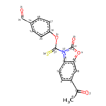 CC(=O)c1ccc2c(c1)oc(=O)n2C(=S)Oc1ccc(C=O)cc1